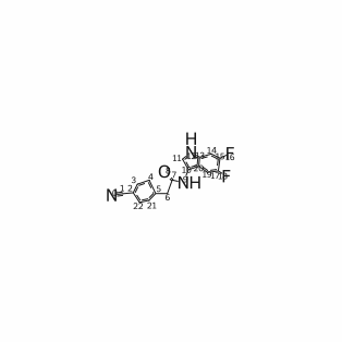 N#Cc1ccc(CC(=O)Nc2c[nH]c3cc(F)c(F)cc23)cc1